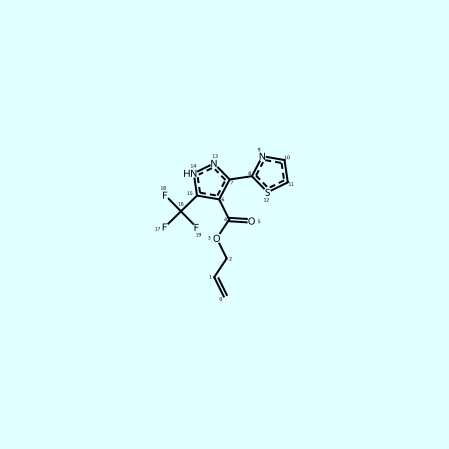 C=CCOC(=O)c1c(-c2nccs2)n[nH]c1C(F)(F)F